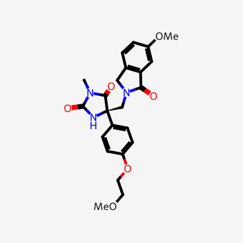 COCCOc1ccc([C@]2(CN3Cc4ccc(OC)cc4C3=O)NC(=O)N(C)C2=O)cc1